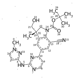 Cn1ccc(Nc2nccc(-c3cc(C#N)c4c(c3)[C@](C)(CO)CN4C(=O)OC(C)(C)C)n2)n1